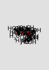 CC(=O)NC1C(O)[C@@H](O)C(CO)O[C@H]1O[C@H]1C(CO)O[C@@H](O[C@@H]2C(CO)OCC(O)C2O)C(O)C1O[C@]1(C(=O)O)CC(O)[C@@H](NC(C)=O)C([C@H](O)[C@@H](CO)O[C@]2(C(=O)O)CC(O)[C@@H](NC(C)=O)C([C@H](O)[C@H](O)CO)O2)O1